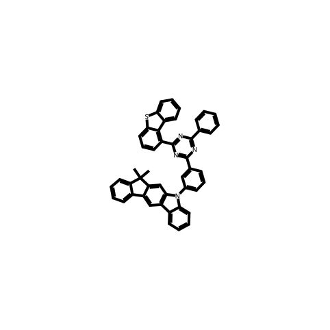 CC1(C)c2ccccc2-c2cc3c4ccccc4n(-c4cccc(-c5nc(-c6ccccc6)nc(-c6cccc7sc8ccccc8c67)n5)c4)c3cc21